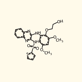 COc1cc(Nc2nc3ccccc3nc2NS(=O)(=O)c2cccs2)c(OCCO)c(OC)c1